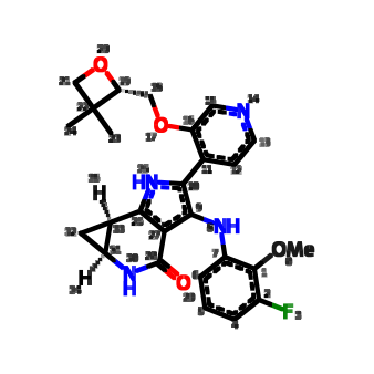 COc1c(F)cccc1Nc1c(-c2ccncc2OC[C@H]2OCC2(C)C)[nH]c2c1C(=O)N[C@H]1C[C@@H]21